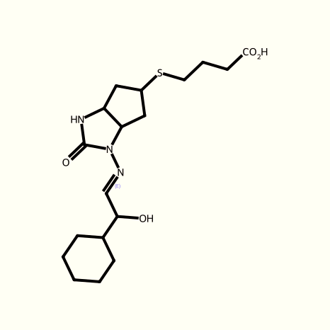 O=C(O)CCCSC1CC2NC(=O)N(/N=C/C(O)C3CCCCC3)C2C1